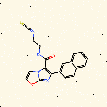 O=C(NCCN=C=S)c1c(-c2ccc3ccccc3c2)nc2occn12